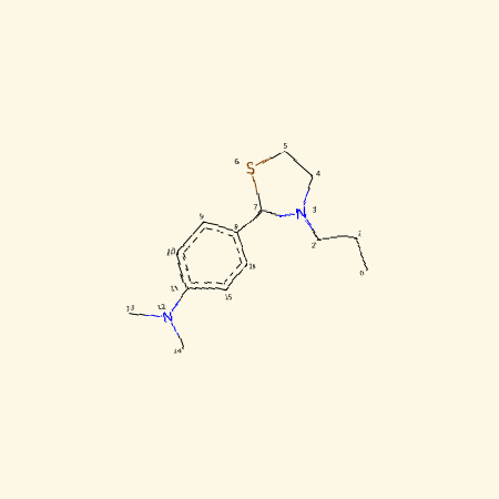 CCCN1CCSC1c1ccc(N(C)C)cc1